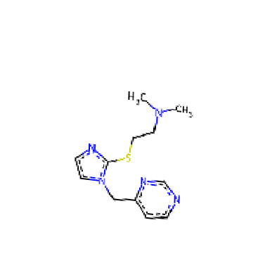 CN(C)CCSc1nccn1Cc1ccncn1